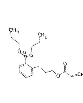 C=CC(=O)OCCCc1ccccc1[SiH](OCCC)OCCC